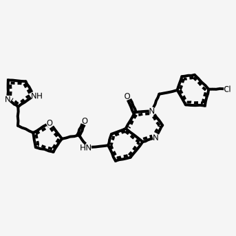 O=C(Nc1ccc2ncn(Cc3ccc(Cl)cc3)c(=O)c2c1)c1ccc(Cc2ncc[nH]2)o1